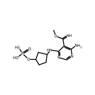 COC(=N)c1c(N)ncnc1NC1CCC(OP(=O)(O)S)C1